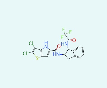 O=C(N[C@@H]1Cc2ccccc2[C@H]1NC(=O)C(F)(F)F)c1cc2sc(Cl)c(Cl)c2[nH]1